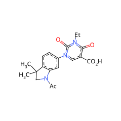 CCn1c(=O)c(C(=O)O)cn(-c2ccc3c(c2)N(C(C)=O)CC3(C)C)c1=O